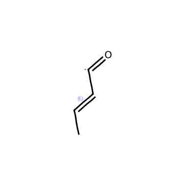 C/C=C/[C]=O